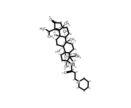 CC(C)C1=C2[C@H]3CC[C@@H]4[C@@]5(C)CC[C@@](O)(NC(=O)CCN6CCCCC6)C(C)(C)[C@@H]5CC[C@@]4(C)[C@]3(C)CC[C@@]2(C)CC1=O